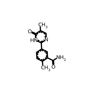 Cc1ccc(-c2ncc(C)c(=O)[nH]2)cc1C(N)=O